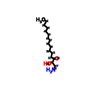 CCCCCCCCCCCCCC(=O)C(O)CN